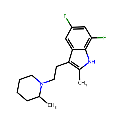 Cc1[nH]c2c(F)cc(F)cc2c1CCN1CCCCC1C